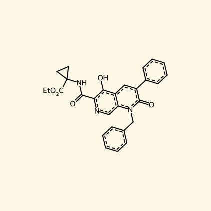 CCOC(=O)C1(NC(=O)c2ncc3c(cc(-c4ccccc4)c(=O)n3Cc3ccccc3)c2O)CC1